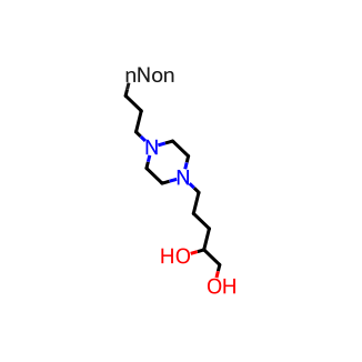 CCCCCCCCCCCCN1CCN(CCCC(O)CO)CC1